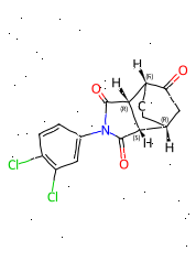 O=C1C[C@H]2CC[C@@H]1[C@H]1C(=O)N(c3ccc(Cl)c(Cl)c3)C(=O)[C@@H]21